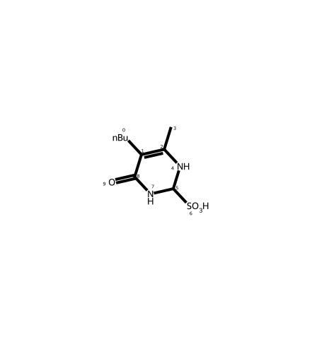 CCCCC1=C(C)NC(S(=O)(=O)O)NC1=O